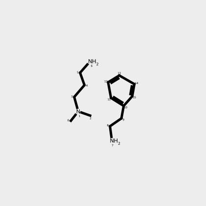 CN(C)CCCN.NCCc1ccccc1